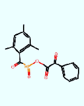 Cc1cc(C)c(C(=O)[PH](=O)OC(=O)C(=O)c2ccccc2)c(C)c1